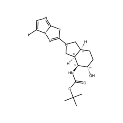 CC(C)(C)OC(=O)N[C@H]1[C@H]2CN(c3nn4c(I)cnc4s3)C[C@H]2CC[C@@H]1O